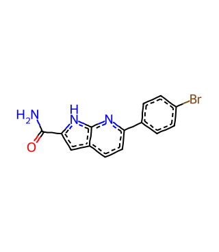 NC(=O)c1cc2ccc(-c3ccc(Br)cc3)nc2[nH]1